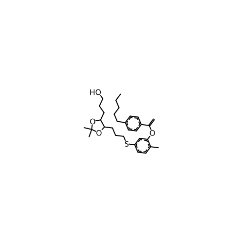 C=C(Oc1cc(SCCCC2OC(C)(C)OC2CCCO)ccc1C)c1ccc(CCCCC)cc1